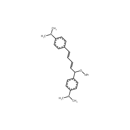 CCCOC(C=CC=Cc1ccc(N(C)C)cc1)c1ccc(N(C)C)cc1